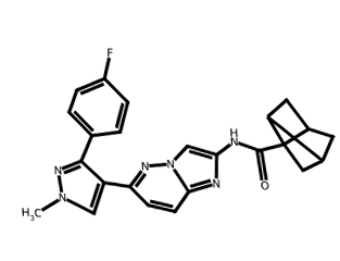 Cn1cc(-c2ccc3nc(NC(=O)C45CC6CC4CC65)cn3n2)c(-c2ccc(F)cc2)n1